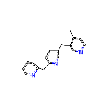 Cc1ccncc1Cc1ccc(Cc2ccccn2)nc1